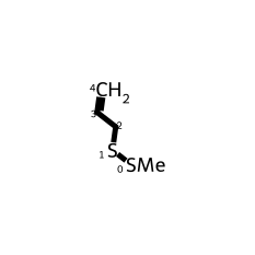 [C]SSCC=C